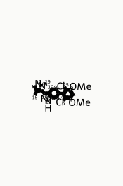 COc1cc(OC)c(Cl)c(C2CCc3c(-c4c(C)cnn4C)n[nH]c3C2)c1Cl